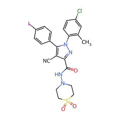 Cc1cc(Cl)ccc1-n1nc(C(=O)NN2CCS(=O)(=O)CC2)c(C#N)c1-c1ccc(I)cc1